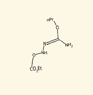 CCCOC(N)=NNOC(=O)OCC